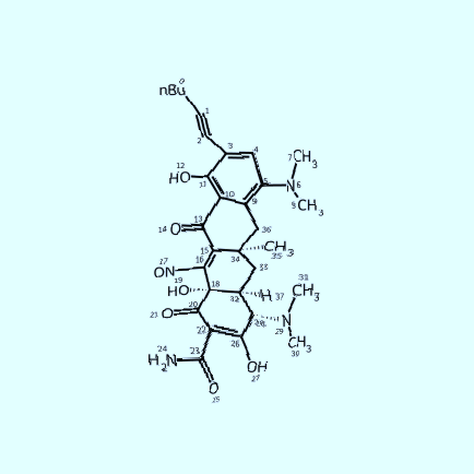 CCCCC#Cc1cc(N(C)C)c2c(c1O)C(=O)C1=C(N=O)[C@]3(O)C(=O)C(C(N)=O)=C(O)[C@@H](N(C)C)[C@@H]3C[C@]1(C)C2